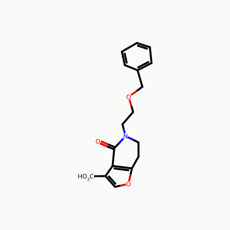 O=C(O)c1coc2c1C(=O)N(CCOCc1ccccc1)CC2